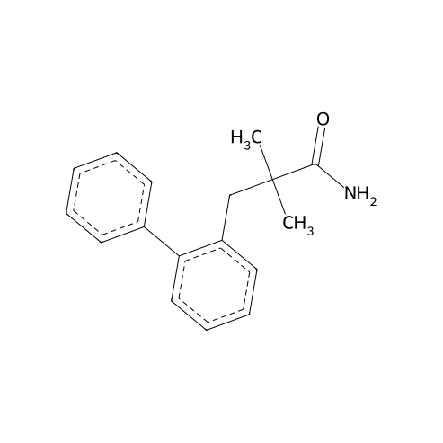 CC(C)(Cc1ccccc1-c1ccccc1)C(N)=O